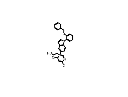 OCC[N+]1(c2ccc3c(ccn3-c3ccccc3OCc3ccccc3)c2)C=NC(Cl)=CC1Cl